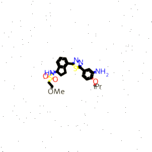 COCCS(=O)(=O)NC1CCc2c(-c3nnc(-c4ccc(OC(C)C)c(N)c4)s3)cccc21